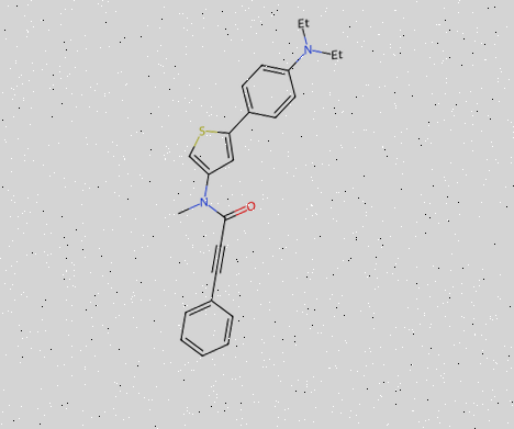 CCN(CC)c1ccc(-c2cc(N(C)C(=O)C#Cc3ccccc3)cs2)cc1